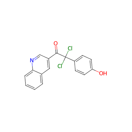 O=C(c1cnc2ccccc2c1)C(Cl)(Cl)c1ccc(O)cc1